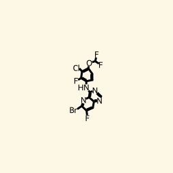 Fc1cc2ncnc(Nc3ccc(OC(F)F)c(Cl)c3F)c2nc1Br